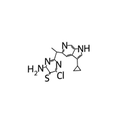 CC(C1=NC(N)C(=S)C(Cl)=N1)c1cc2c(C3CC3)c[nH]c2cn1